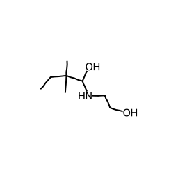 CCC(C)(C)C(O)NCCO